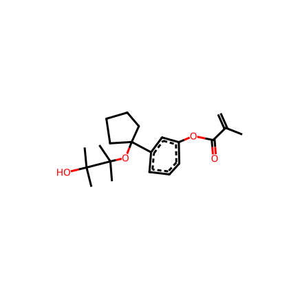 C=C(C)C(=O)Oc1cccc(C2(OC(C)(C)C(C)(C)O)CCCC2)c1